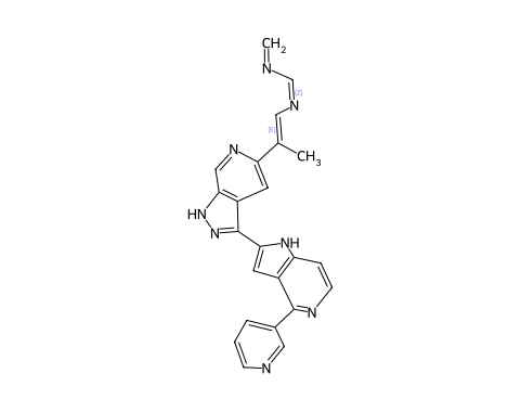 C=N/C=N\C=C(/C)c1cc2c(-c3cc4c(-c5cccnc5)nccc4[nH]3)n[nH]c2cn1